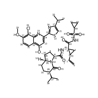 C=C[C@@H]1C[C@]1(NC(=O)[C@@H]1C[C@@H](Oc2cc(-c3nc(C(C)C)cs3)nc3c(Cl)c(OC)ccc23)[C@H]2CC[C@H](C(C)C)C(=O)N21)C(=O)NS(=O)(=O)C1CC1